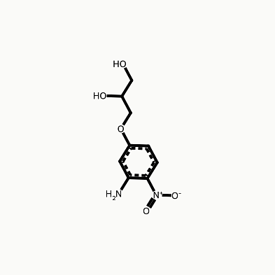 Nc1cc(OCC(O)CO)ccc1[N+](=O)[O-]